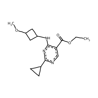 CCOC(=O)c1cnc(C2CC2)nc1NC1CC(OC)C1